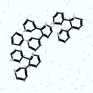 c1ccccc1.c1cncc(-c2cccnc2-c2cccnc2)c1.c1cncc(-c2cccnc2-c2cccnc2)c1.c1cncc(-c2cccnc2-c2cccnc2)c1